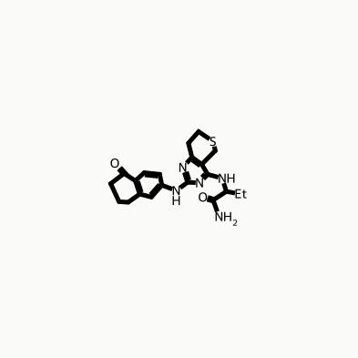 CCC(Nc1nc(Nc2ccc3c(c2)CCCC3=O)nc2c1CSCC2)C(N)=O